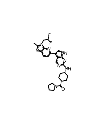 Cc1nc2ccc(-c3c[nH]c4nc(N[C@H]5CC[C@@H](C(=O)N6CCCC6)CC5)ncc34)nc2n1CC(F)F